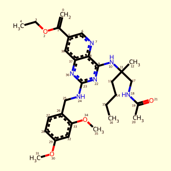 C=C(OCC)c1cnc2c(NC(C)(CCCC)CNC(C)=O)nc(NCc3ccc(OC)cc3OC)nc2c1